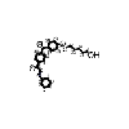 O=C(/C=C/c1ccccc1)c1ccc(C(=O)c2ccc(OCCCCCCO)cc2)cc1